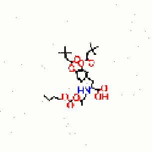 CCCCOC(=O)OC(C)CN[C@@H](Cc1ccc(OC(=O)CC(C)(C)C)c(OC(=O)CC(C)(C)C)c1)C(=O)O